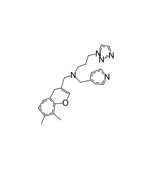 Cc1ccc2c(c1C)OC=C(CN(CCCn1ccnn1)Cc1ccncc1)C2